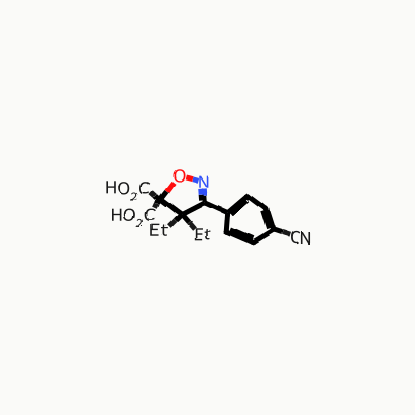 CCC1(CC)C(c2ccc(C#N)cc2)=NOC1(C(=O)O)C(=O)O